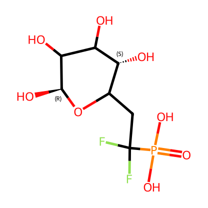 O=P(O)(O)C(F)(F)CC1O[C@@H](O)C(O)C(O)[C@@H]1O